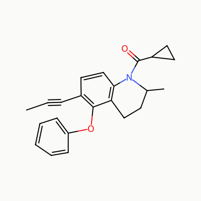 CC#Cc1ccc2c(c1Oc1ccccc1)CCC(C)N2C(=O)C1CC1